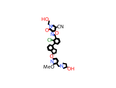 COc1nc(O[C@H]2CCc3c(-c4cccc(-c5nc6c(=O)n(CCO)cc(C#N)c6o5)c4Cl)cccc32)ccc1CN1CC[C@@H](O)C1